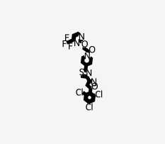 O=C(COc1nccc(C(F)(F)F)n1)N1CCC(c2nc(C3=NOC(c4c(Cl)cc(Cl)cc4Cl)C3)cs2)CC1